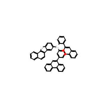 c1cc(-c2cc3ccccc3c3ccccc23)cc(N(c2ccc3sc4c5ccccc5ccc4c3c2)c2ccccc2-c2ccc3ccccc3c2)c1